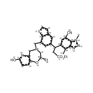 CCOC(=O)CC(c1cc(CN2Cc3nc(O)ccc3O[C@H](CC)C2)c2sccc2c1)c1cc(C#N)c2c(nnn2C)c1C